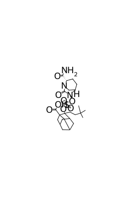 CC(C)(C)CCC1(OS(=O)(=O)ON2C(=O)N3C[C@H]2CC[C@H]3C(N)=O)C2CC3CC(C2)CC1(C(=O)O)C3